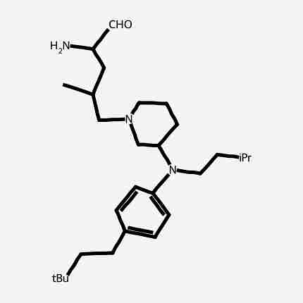 CC(C)CCN(c1ccc(CCC(C)(C)C)cc1)C1CCCN(CC(C)CC(N)C=O)C1